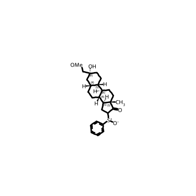 COC[C@@]1(O)CC[C@H]2[C@H](CC[C@@H]3[C@@H]2CC[C@]2(C)C(=O)C([S+]([O-])c4ccccc4)C[C@@H]32)C1